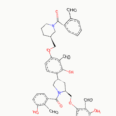 O=Cc1ccccc1C(=O)N1CCC[C@H](COc2ccc(C3C[C@@H](COc4cccc(O)c4C=O)N(C(=O)c4cccc(O)c4C=O)C3)c(O)c2C=O)C1